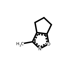 Cc1noc2c1CCC2